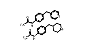 O=C(Nc1ccc(CC2CCNCC2)cc1)C(F)(F)F.O=C(Nc1ccc(Cc2ccncc2)cc1)C(F)(F)F